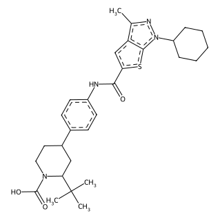 Cc1nn(C2CCCCC2)c2sc(C(=O)Nc3ccc(C4CCN(C(=O)O)C(C(C)(C)C)C4)cc3)cc12